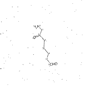 NCC(=O)CCCCC=O